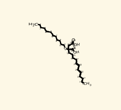 CCCCCCCCCCCCOC(CCCCCCCCCCCC)(CC(=O)O)C(O)=S